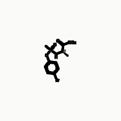 CC(C)COC(=O)[C@H](C)NP(C)(=O)Oc1ccc(Br)cc1